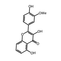 COc1cc(-c2oc3cccc(O)c3c(=O)c2O)ccc1O